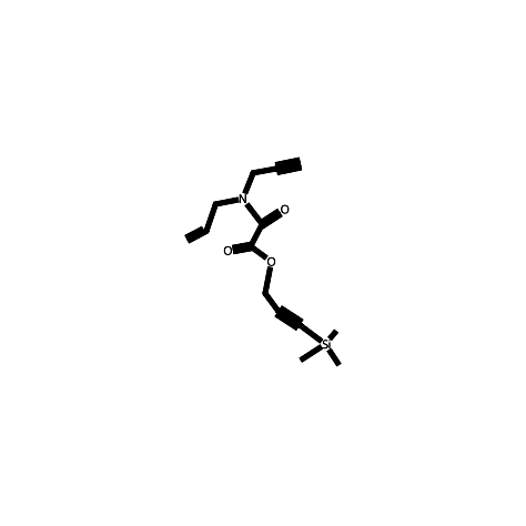 C#CCN(CC=C)C(=O)C(=O)OCC#C[Si](C)(C)C